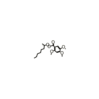 CCCCCC[C](C)OOC(=O)c1cc(OC)c(OC)cc1OC